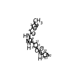 Cc1cc(CC(=O)Nc2cc(C3CCC(OC(=O)NC4CC5CC5C4)C3)[nH]n2)on1